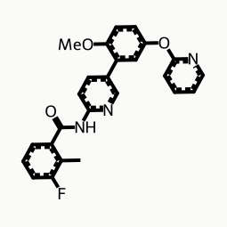 COc1ccc(Oc2ccccn2)cc1-c1ccc(NC(=O)c2cccc(F)c2C)nc1